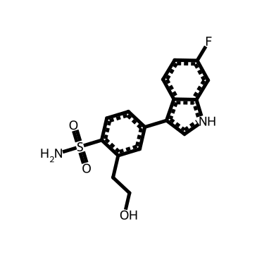 NS(=O)(=O)c1ccc(-c2c[nH]c3cc(F)ccc23)cc1CCO